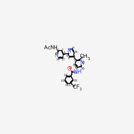 CC(=O)Nc1cc(-c2cc(-c3cc(NC(=O)c4cccc(C(F)(F)F)c4)cnc3C)ccn2)ccn1